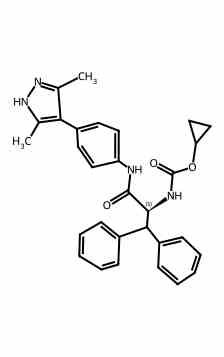 Cc1n[nH]c(C)c1-c1ccc(NC(=O)[C@@H](NC(=O)OC2CC2)C(c2ccccc2)c2ccccc2)cc1